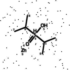 CC(C)[SH](=O)(O)C(C)C.[Zn]